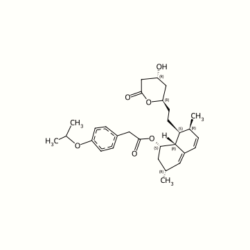 CC(C)Oc1ccc(CC(=O)O[C@H]2C[C@@H](C)C=C3C=C[C@H](C)[C@H](CC[C@@H]4C[C@@H](O)CC(=O)O4)[C@H]32)cc1